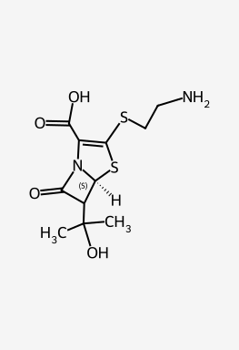 CC(C)(O)C1C(=O)N2C(C(=O)O)=C(SCCN)S[C@@H]12